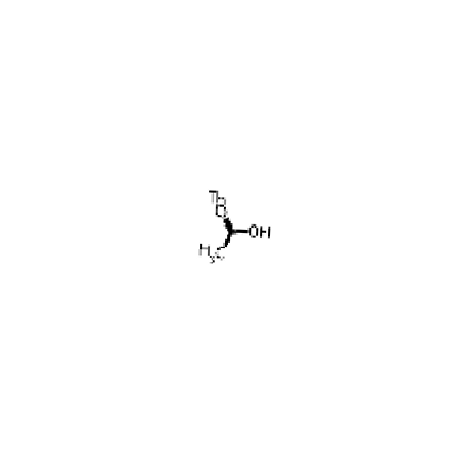 CC(=O)O.[Th]